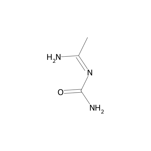 CC(N)=NC(N)=O